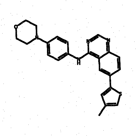 Cc1csc(-c2ccc3ncnc(Nc4ccc(N5CCOCC5)cc4)c3c2)c1